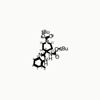 Cc1cccc2nc(C3(NC(=O)OC(C)(C)C)CCN(C(=O)OC(C)(C)C)CC3)[nH]c12